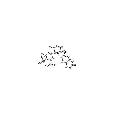 CC(C)N1CCS(=O)(=O)c2c(F)cc(-c3nc(Nc4ccc5c(c4)CNCC5)ncc3F)cc21